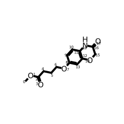 COC(=O)CCCOc1ccc2c(c1)OCC(=O)N2